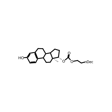 CCCCCCCCCCCCOC(=O)O[C@H]1CCC2C3CCc4cc(O)ccc4C3CC[C@@]21C